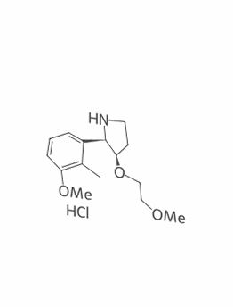 COCCO[C@@H]1CCN[C@@H]1c1cccc(OC)c1C.Cl